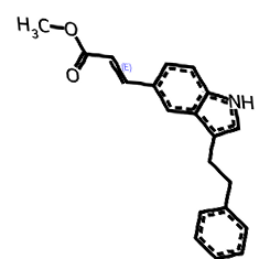 COC(=O)/C=C/c1ccc2[nH]cc(CCc3ccccc3)c2c1